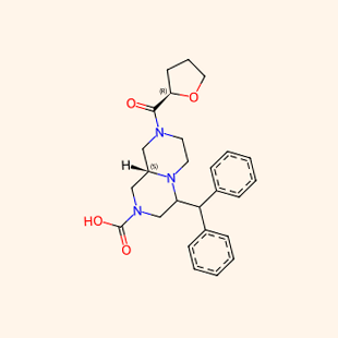 O=C(O)N1CC(C(c2ccccc2)c2ccccc2)N2CCN(C(=O)[C@H]3CCCO3)C[C@H]2C1